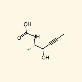 CC#CC(O)[C@H](C)NC(=O)O